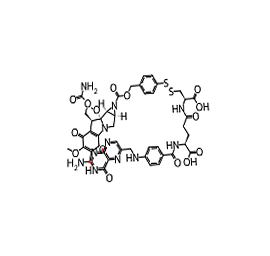 COC1=C(C)C(=O)C2=C(C1=O)[C@@H](COC(N)=O)[C@@]1(OC)[C@@H]3[C@H](CN21)N3C(=O)OCc1ccc(SSC[C@H](NC(=O)CC[C@H](NC(=O)c2ccc(NCc3cnc4nc(N)[nH]c(=O)c4n3)cc2)C(=O)O)C(=O)O)cc1